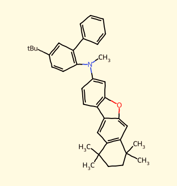 CN(c1ccc2c(c1)oc1cc3c(cc12)C(C)(C)CCC3(C)C)c1ccc(C(C)(C)C)cc1-c1ccccc1